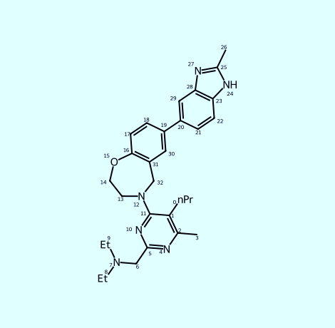 CCCc1c(C)nc(CN(CC)CC)nc1N1CCOc2ccc(-c3ccc4[nH]c(C)nc4c3)cc2C1